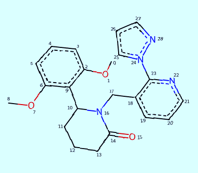 COc1cccc(OC)c1C1CCCC(=O)N1Cc1cccnc1-n1cccn1